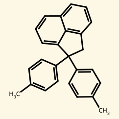 Cc1ccc(C2(c3ccc(C)cc3)Cc3cccc4cccc2c34)cc1